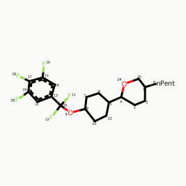 CCCCCC1CCC(C2CCC(OC(F)(F)c3cc(F)c(F)c(F)c3)CC2)OC1